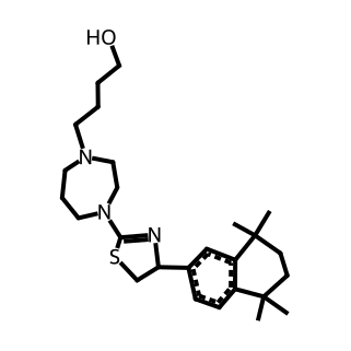 CC1(C)CCC(C)(C)c2cc(C3CSC(N4CCCN(CCCCO)CC4)=N3)ccc21